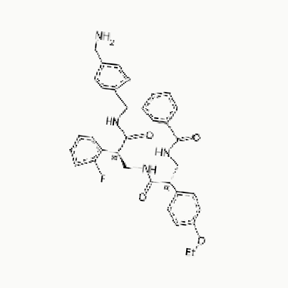 CCOc1ccc([C@@H](CNC(=O)c2ccccc2)C(=O)NC[C@H](C(=O)NCc2ccc(CN)cc2)c2ccccc2F)cc1